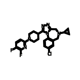 Fc1ccc(N2CCC(c3nnc4n3-c3ccc(Cl)cc3CN(C3CC3)C4)CC2)nc1F